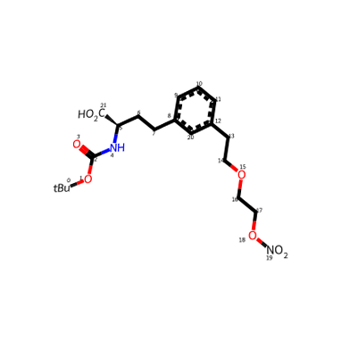 CC(C)(C)OC(=O)N[C@H](CCc1cccc(CCOCCO[N+](=O)[O-])c1)C(=O)O